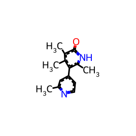 Cc1cc(-c2c(C)[nH]c(=O)c(C)c2C)ccn1